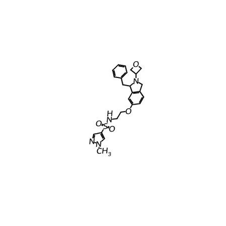 Cn1cc(S(=O)(=O)NCCOc2ccc3c(c2)C(Cc2ccccc2)N(C2COC2)C3)cn1